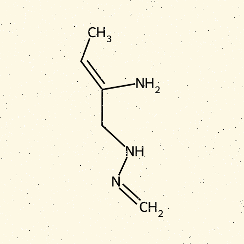 C=NNC/C(N)=C/C